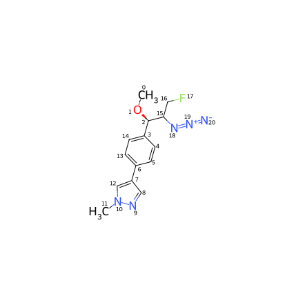 CO[C@H](c1ccc(-c2cnn(C)c2)cc1)C(CF)N=[N+]=[N-]